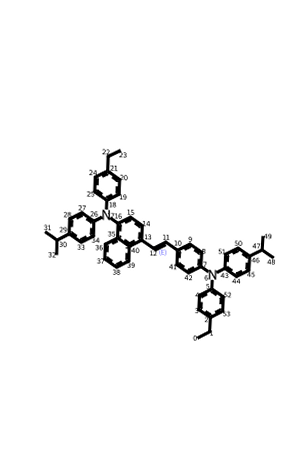 CCc1ccc(N(c2ccc(/C=C/c3ccc(N(c4ccc(CC)cc4)c4ccc(C(C)C)cc4)c4ccccc34)cc2)c2ccc(C(C)C)cc2)cc1